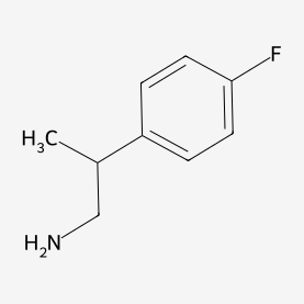 CC(CN)c1ccc(F)cc1